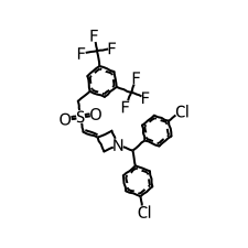 O=S(=O)(C=C1CN(C(c2ccc(Cl)cc2)c2ccc(Cl)cc2)C1)Cc1cc(C(F)(F)F)cc(C(F)(F)F)c1